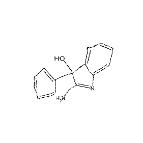 NC1=Nc2ccccc2C1(O)c1ccccc1